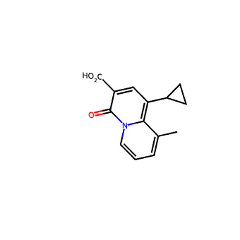 Cc1cccn2c(=O)c(C(=O)O)cc(C3CC3)c12